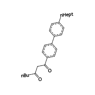 CCCCCCCc1ccc(-c2ccc(C(=O)CC(=O)CCCC)cc2)cc1